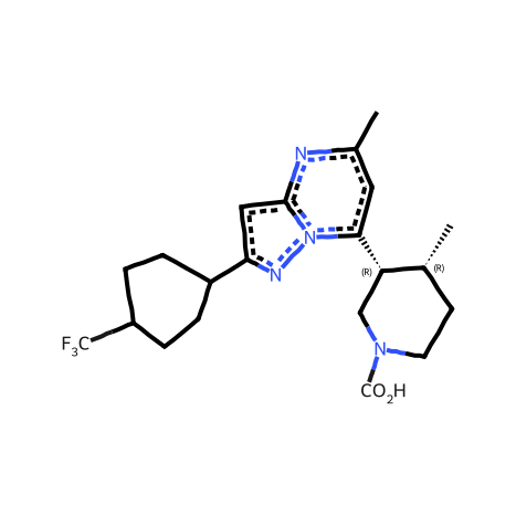 Cc1cc([C@H]2CN(C(=O)O)CC[C@H]2C)n2nc(C3CCC(C(F)(F)F)CC3)cc2n1